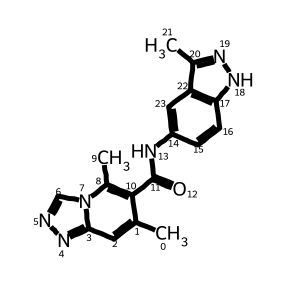 Cc1cc2nncn2c(C)c1C(=O)Nc1ccc2[nH]nc(C)c2c1